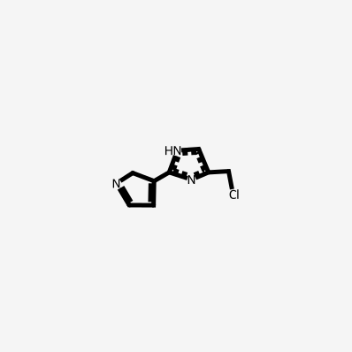 ClCc1c[nH]c(C2=CC=NC2)n1